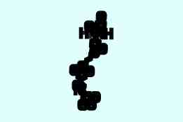 COc1ccc2c(c1)C(=O)NC(c1ccc(OCCCCOc3c(OC)cc(-c4cc(-c5cc(OC)c(OC)c(OC)c5)no4)cc3OC)c(OC)c1)N2